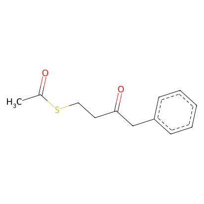 CC(=O)SCCC(=O)Cc1ccccc1